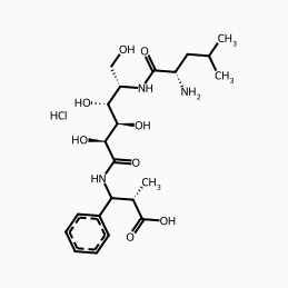 CC(C)C[C@H](N)C(=O)N[C@@H](CO)[C@@H](O)[C@@H](O)[C@H](O)C(=O)NC(c1ccccc1)[C@H](C)C(=O)O.Cl